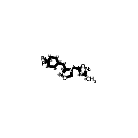 Cc1noc(CN2CON=C2CC2CCC(F)(F)CC2)n1